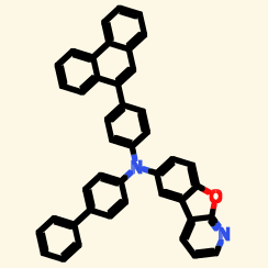 c1ccc(-c2ccc(N(c3ccc(-c4cc5ccccc5c5ccccc45)cc3)c3ccc4oc5ncccc5c4c3)cc2)cc1